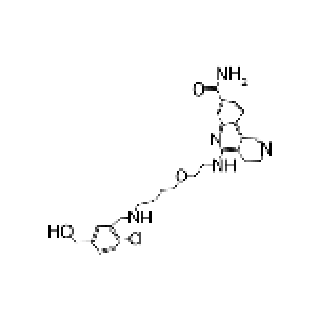 NC(=O)c1ccc2c(c1)nc(NCCOCCCCNCc1cc(CO)ccc1Cl)c1ccncc12